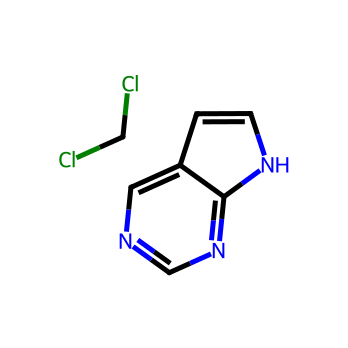 ClCCl.c1ncc2cc[nH]c2n1